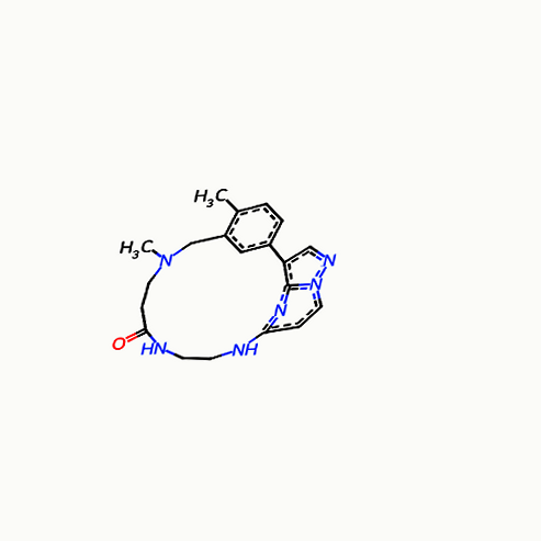 Cc1ccc2cc1CN(C)CCC(=O)NCCNc1ccn3ncc-2c3n1